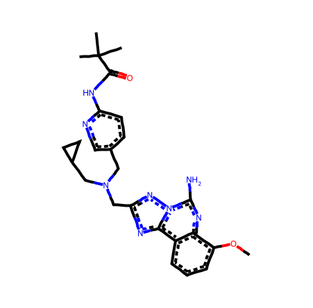 COc1cccc2c1nc(N)n1nc(CN(Cc3ccc(NC(=O)C(C)(C)C)nc3)CC3CC3)nc21